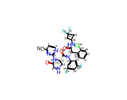 N#Cc1ccnc(N2C(=O)CNC[C@H]2C(=O)N(c2cc(F)cc(F)c2)[C@H](C(=O)NC2CC(F)(F)C2)c2ccccc2Cl)n1